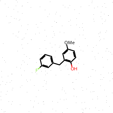 COc1ccc(O)c(Cc2cccc(F)c2)c1